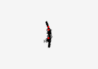 C=CCCCCCCCC(=O)N(C)c1cc(C)c(CCS(=O)(=O)N2CCC3(CC2)N=C(CCCCC=C)NC3=O)c(C)c1